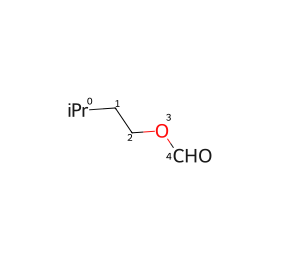 CC(C)CCOC=O